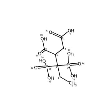 CCC(C(CC(=O)O)C(=O)O)(P(=O)(O)O)P(=O)(O)O